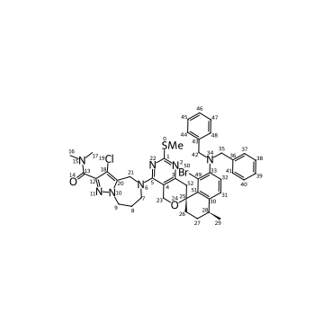 CSc1nc2c(c(N3CCCn4nc(C(=O)N(C)C)c(Cl)c4C3)n1)CO[C@]1(CC[C@H](C)c3ccc(N(Cc4ccccc4)Cc4ccccc4)c(Br)c31)C2